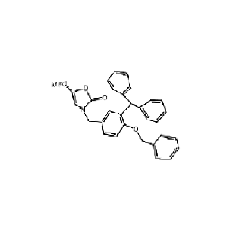 COc1cn(Cc2ccc(OCc3ccccc3)c(C(c3ccccc3)c3ccccc3)c2)c(=O)o1